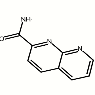 [NH]C(=O)c1ccc2cccnc2n1